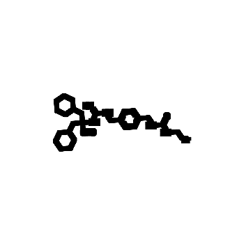 CC(C)CNC(=O)NCc1ccc(CNC(=N)NC(C=O)(CC2CCCCC2)CC2CCCCC2)cc1